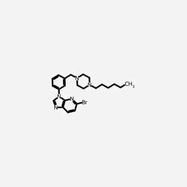 CCCCCCN1CCN(Cc2cccc(-n3cnc4ccc(Br)nc43)c2)CC1